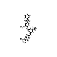 CC(C)S(=O)(=O)NC(=O)Cc1cc(Oc2ccc(S(=O)(=O)c3ccccc3)cc2N)cc(C(F)(F)F)c1